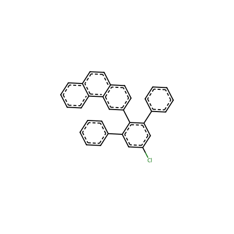 Clc1cc(-c2ccccc2)c(-c2ccc3ccc4ccccc4c3c2)c(-c2ccccc2)c1